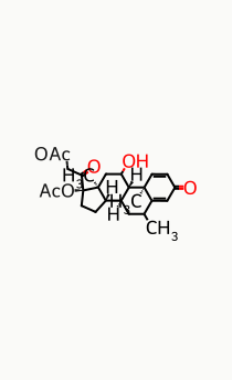 CC(=O)OCC(=O)[C@@]1(OC(C)=O)CC[C@H]2[C@@H]3CC(C)C4=CC(=O)C=C[C@]4(C)[C@H]3C(O)C[C@@]21C